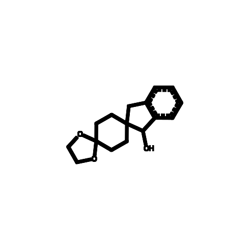 OC1c2ccccc2CC12CCC1(CC2)OCCO1